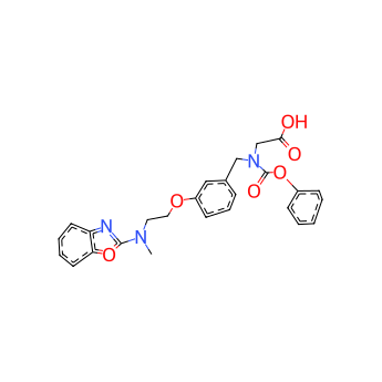 CN(CCOc1cccc(CN(CC(=O)O)C(=O)Oc2ccccc2)c1)c1nc2ccccc2o1